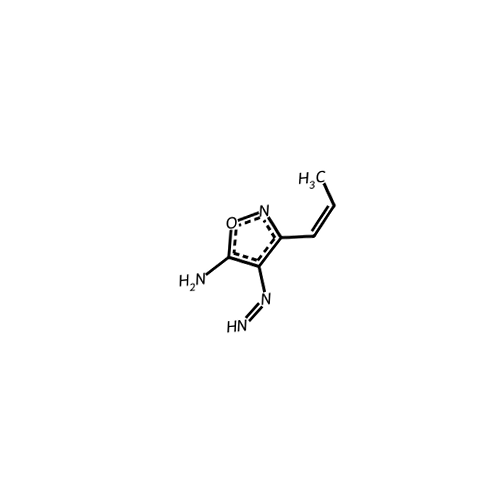 C/C=C\c1noc(N)c1N=N